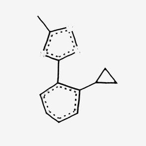 Cc1nc(-c2ccccc2C2CC2)no1